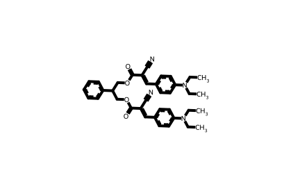 CCN(CC)c1ccc(/C=C(\C#N)C(=O)OCC(COC(=O)/C(C#N)=C/c2ccc(N(CC)CC)cc2)c2ccccc2)cc1